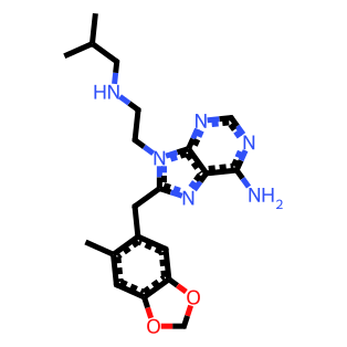 Cc1cc2c(cc1Cc1nc3c(N)ncnc3n1CCNCC(C)C)OCO2